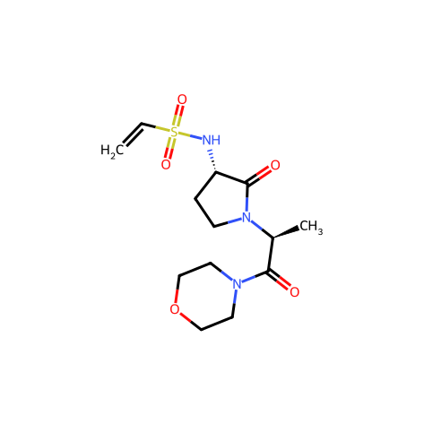 C=CS(=O)(=O)N[C@H]1CCN([C@@H](C)C(=O)N2CCOCC2)C1=O